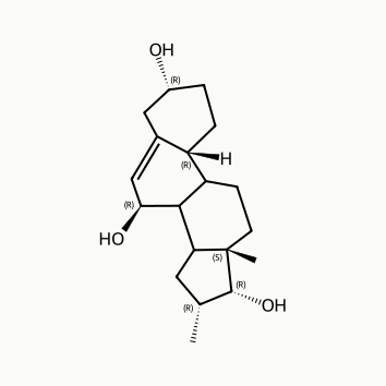 C[C@@H]1CC2C3C(CC[C@]2(C)[C@@H]1O)[C@H]1CC[C@@H](O)CC1=C[C@@H]3O